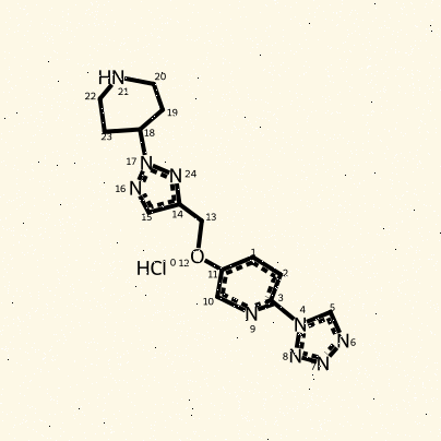 Cl.c1cc(-n2cnnn2)ncc1OCc1cnn(C2CCNCC2)n1